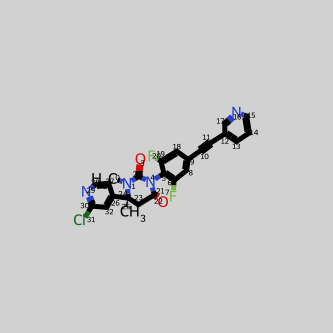 CN1C(=O)N(c2c(F)cc(C#Cc3cccnc3)cc2F)C(=O)C[C@@]1(C)c1ccnc(Cl)c1